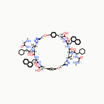 CN[C@@H](C)C(=O)N[C@H](C(=O)N1C[C@@H]2C[C@H]1C(=O)N[C@@H](Cc1cccc3ccccc13)C(=O)N[C@H](C(=O)O)Cc1ccc(cc1)OCc1cn(nn1)[C@H]1C[C@@H](C(=O)N[C@@H](Cc3cccc4ccccc34)C(=O)N[C@H](C(=O)O)Cc3ccc(cc3)OCc3cn2nn3)N(C(=O)[C@@H](NC(=O)[C@H](C)NC)C2CCCCC2)C1)C1CCCCC1